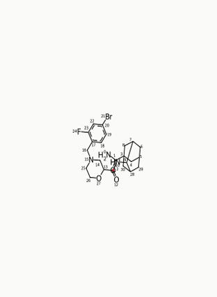 NC(=O)C12CC3CC(C1)C(NC(=O)C1CN(Cc4ccc(Br)cc4F)CCO1)C(C3)C2